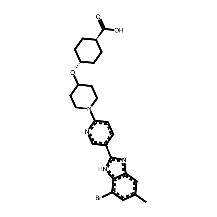 Cc1cc(Br)c2[nH]c(-c3ccc(N4CCC(O[C@H]5CC[C@H](C(=O)O)CC5)CC4)nc3)nc2c1